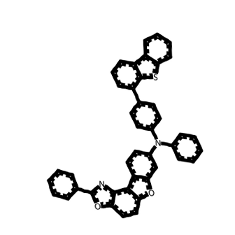 c1ccc(-c2nc3c(ccc4oc5cc(N(c6ccccc6)c6ccc(-c7cccc8c7sc7ccccc78)cc6)ccc5c43)o2)cc1